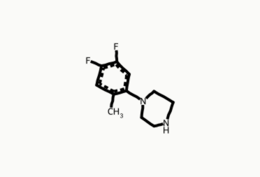 Cc1cc(F)c(F)cc1N1CCNCC1